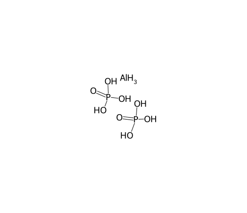 O=P(O)(O)O.O=P(O)(O)O.[AlH3]